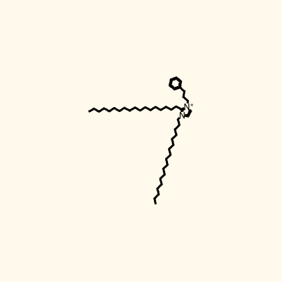 CCCCCCCCCCCCCCCCCCc1n(CCCCCCCCCCCCCCCCCC)cc[n+]1CCCc1ccccc1